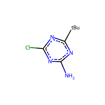 CC(C)(C)c1nc(N)nc(Cl)n1